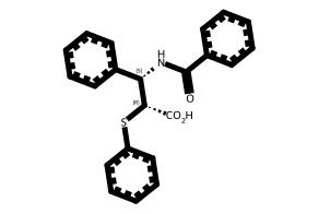 O=C(N[C@@H](c1ccccc1)[C@@H](Sc1ccccc1)C(=O)O)c1ccccc1